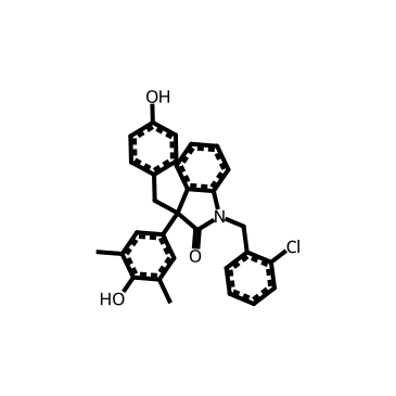 Cc1cc(C2(Cc3ccc(O)cc3)C(=O)N(Cc3ccccc3Cl)c3ccccc32)cc(C)c1O